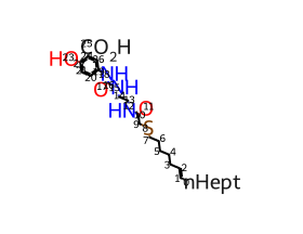 CCCCCCCC=CCCCCCSCC(=O)NCCNC(=O)Nc1ccc(O)c(C(=O)O)c1